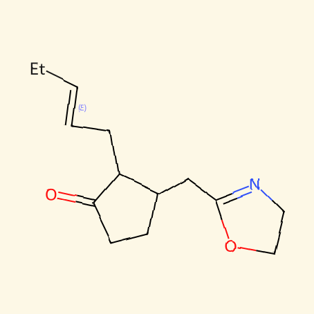 CC/C=C/CC1C(=O)CCC1CC1=NCCO1